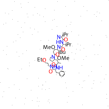 CCOCCCNC(=O)C(Cc1ccccc1)NC(=O)C(C)C(OC)C1CCCN1C(=O)CC(OC)C(C(C)CC)N(C)C(=O)C(NC(=O)C(C(C)C)N(C)C)C(C)C